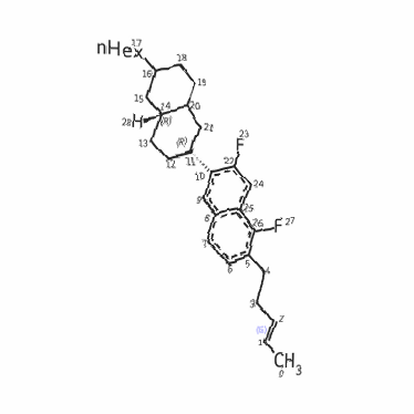 C/C=C/CCc1ccc2cc([C@@H]3CC[C@@H]4CC(CCCCCC)CCC4C3)c(F)cc2c1F